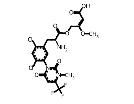 CO/C(=C/C(=O)O)COC(=O)[C@@H](N)Cc1cc(-n2c(=O)cc(C(F)(F)F)n(C)c2=O)c(Cl)cc1Cl